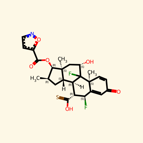 C[C@@H]1C[C@H]2[C@@H]3[C@@H](C(O)=S)[C@H](F)C4=CC(=O)C=C[C@]4(C)C3(F)[C@@H](O)C[C@]2(C)[C@@H]1OC(=O)c1ccno1